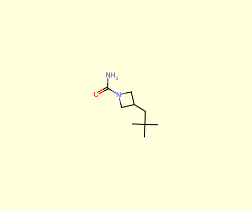 CC(C)(C)CC1CN(C(N)=O)C1